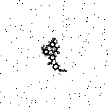 CC(=O)N[C@H]1CC[C@H](C(=O)N2CC[C@@H](N(C)C(=O)N(C)c3cc(C(F)(F)F)cc(C(F)(F)F)c3)[C@H](c3ccc(F)cc3)C2)CC1